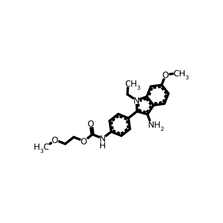 CCn1c(-c2ccc(NC(=O)OCCOC)cc2)c(N)c2ccc(OC)cc21